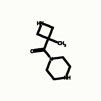 CC1(C(=O)N2CCNCC2)CNC1